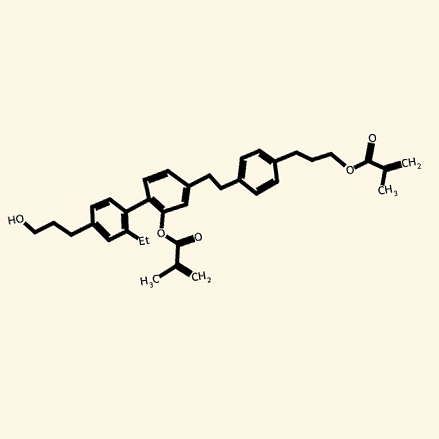 C=C(C)C(=O)OCCCc1ccc(CCc2ccc(-c3ccc(CCCO)cc3CC)c(OC(=O)C(=C)C)c2)cc1